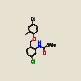 CCc1ccc(OCc2ccc(Cl)cc2NC(=O)SC)c(C)c1